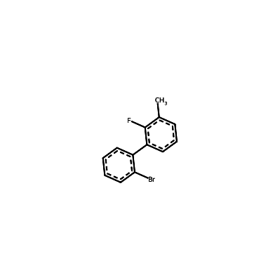 Cc1cccc(-c2ccccc2Br)c1F